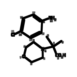 CC(C)(C(=O)O)N1CCOCC1.Nc1ccc(Cl)cc1